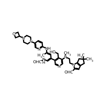 C/C(=C\C(=C/NC=O)c1cncc(N(C)CCn2c(C=O)cc3c2CC(C)(C)C3)c1CO)Nc1ccc(N2CCN(C3COC3)CC2)cn1